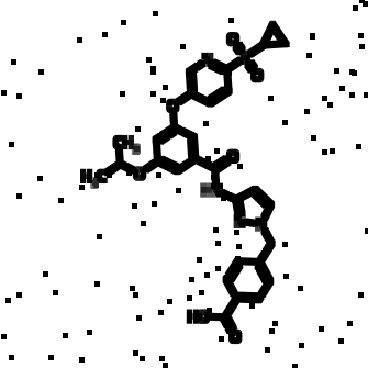 CC(C)Oc1cc(Oc2ccc(S(=O)(=O)C3CC3)nc2)cc(C(=O)Nc2ccn(Cc3ccc(C(=O)O)cc3)n2)c1